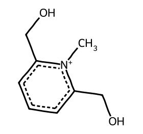 C[n+]1c(CO)cccc1CO